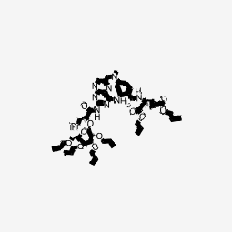 C=CCOC[C@H]1O[C@@H](O[C@@H](CC(C)C)C(=O)Nc2nc(N)c3nc(CN(C)c4ccc(CN[C@@H](CCC(=O)OCC=C)C(=O)OCC=C)cc4)cnc3n2)[C@H](OCC=C)[C@@H](OCC=C)[C@@H]1OCC=C